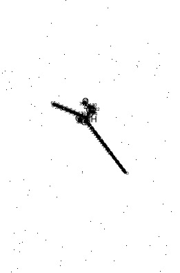 CC#CC#CC#CC#CC#CC#CC#CC#CC#CC#CC#CC#CC(=O)N[C@@H](CO[C@H]1OC(CSC(C)=O)[C@H](C)[C@H](C)C1C)[C@H](OC(C)=O)[C@H](C)CCCCCCCCCCCCCC